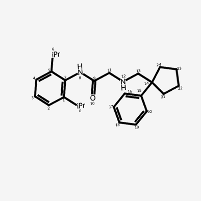 CC(C)c1cccc(C(C)C)c1NC(=O)CNCC1(c2ccccc2)CCCC1